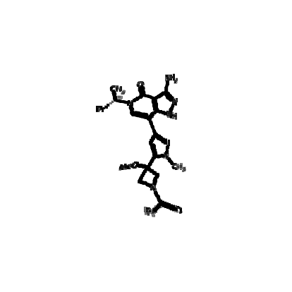 COC1(c2cc(-c3cn([C@@H](C)C(C)C)c(=O)c4c(N)n[nH]c34)nn2C)CN(C(=O)C(C)C)C1